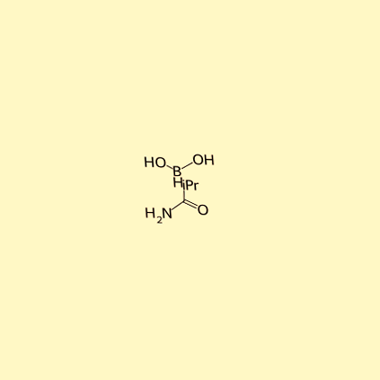 CC(C)C(N)=O.OBO